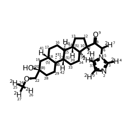 [2H]c1nc([2H])n(C([2H])C(=O)[C@@]2([2H])CC[C@H]3[C@@H]4CC[C@H]5C[C@@](O)(COC([2H])([2H])[2H])CC[C@]5(C)[C@H]4CC[C@@]32C)c1[2H]